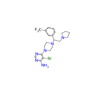 Nc1ncnc(N2CCN(C(CN3CCCC3)c3cccc(C(F)(F)F)c3)CC2)c1Br